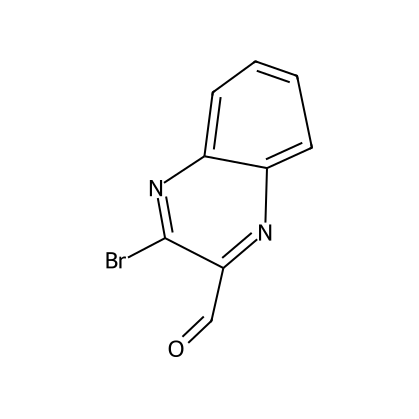 O=Cc1nc2ccccc2nc1Br